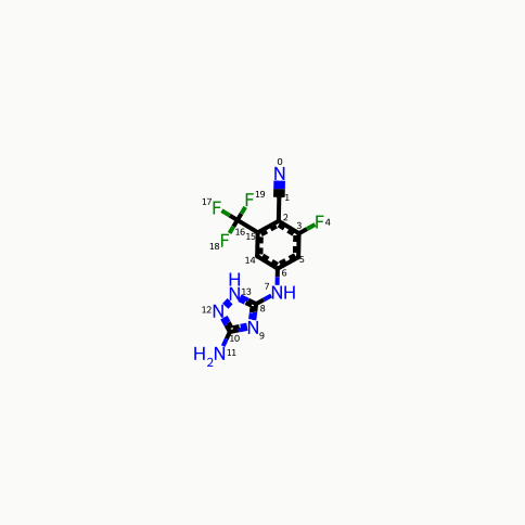 N#Cc1c(F)cc(Nc2nc(N)n[nH]2)cc1C(F)(F)F